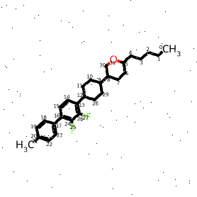 CCCCCC1CCC(C2CCC(c3ccc(-c4ccc(C)cc4)c(F)c3F)CC2)CO1